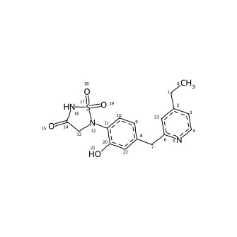 CCc1ccnc(Cc2ccc(N3CC(=O)NS3(=O)=O)c(O)c2)c1